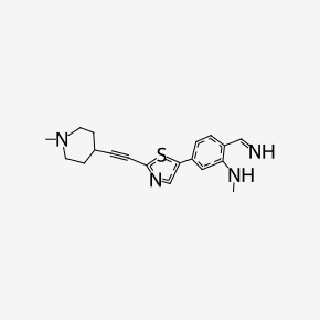 CNc1cc(-c2cnc(C#CC3CCN(C)CC3)s2)ccc1C=N